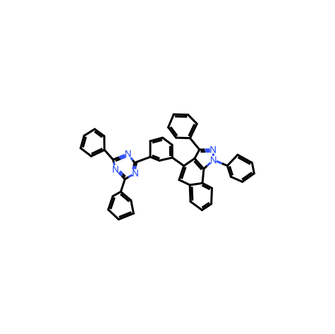 c1ccc(-c2nc(-c3ccccc3)nc(-c3cccc(-c4cc5ccccc5c5c4c(-c4ccccc4)nn5-c4ccccc4)c3)n2)cc1